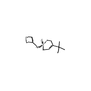 CC(C)(C)C1=CCS(=O)(=NC2COC2)CC1